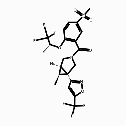 C[C@@H](Oc1ccc(S(C)(=O)=O)cc1C(=O)N1C[C@@H]2[C@H](C)[C@]2(c2cc(C(F)(F)F)on2)C1)C(F)(F)F